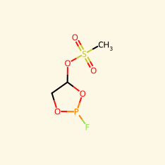 CS(=O)(=O)OC1COP(F)O1